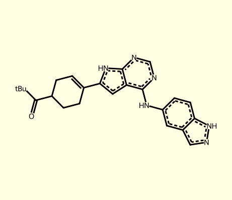 CC(C)(C)C(=O)C1CC=C(c2cc3c(Nc4ccc5[nH]ncc5c4)ncnc3[nH]2)CC1